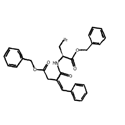 CC(C)C[C@H](NC(=O)C(=Cc1ccccc1)CC(=O)OCc1ccccc1)C(=O)OCc1ccccc1